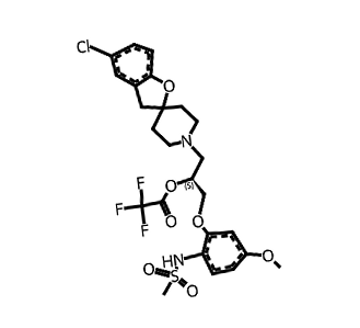 COc1ccc(NS(C)(=O)=O)c(OC[C@H](CN2CCC3(CC2)Cc2cc(Cl)ccc2O3)OC(=O)C(F)(F)F)c1